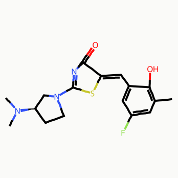 Cc1cc(F)cc(/C=C2\SC(N3CC[C@@H](N(C)C)C3)=NC2=O)c1O